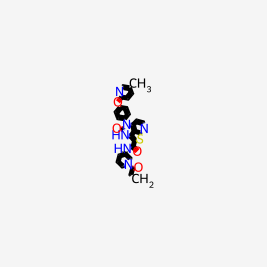 C=CC(=O)N1CCC[C@@H](NC(=O)c2sc3nccc4c3c2NC(=O)N4c2ccc(Oc3ccc(C)cn3)cc2)C1